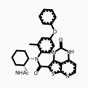 CC(=O)N[C@@H]1CCCC[C@@H]1N(C(=O)c1sc2nccc3c2c1NC(=O)N3)c1ccc(Oc2ccccc2)cc1C